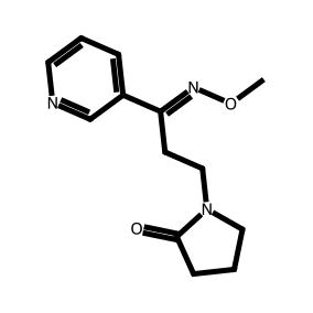 CON=C(CCN1CCCC1=O)c1cccnc1